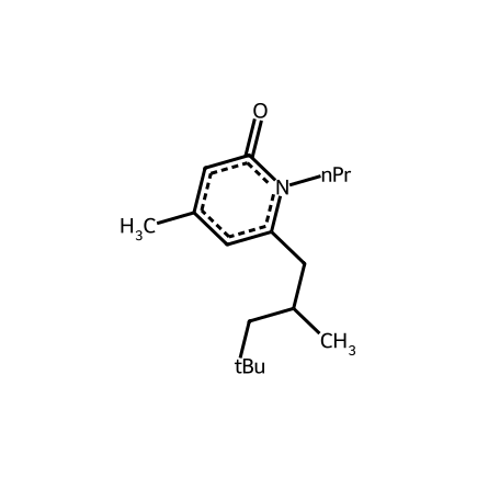 CCCn1c(CC(C)CC(C)(C)C)cc(C)cc1=O